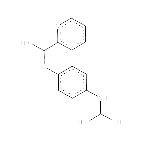 CC(C)Nc1ccc(OC(C)c2ccccn2)cc1